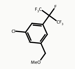 COCc1[c]c(Cl)cc(C(F)(C(F)(F)F)C(F)(F)F)c1